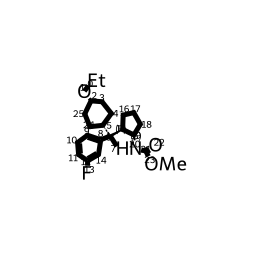 CCO[C@H]1CC[C@H](C(C)(c2cccc(F)c2)[C@H]2CCC[C@@H]2NC(=O)OC)CC1